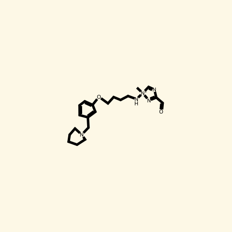 C[N+]1(NCCCCOc2cccc(CN3CCCCC3)c2)C=NC(C=O)=N1